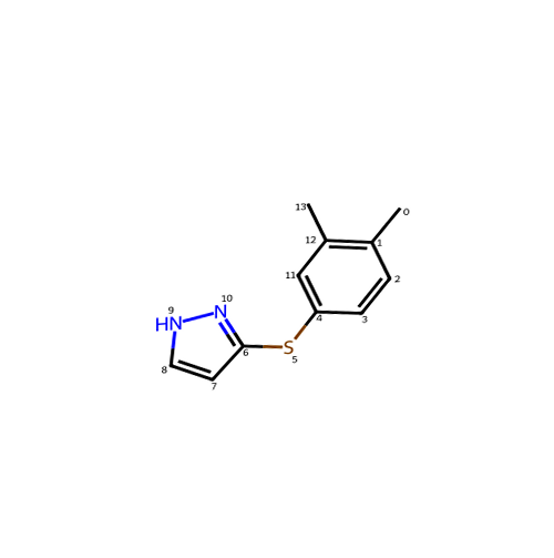 Cc1ccc(Sc2cc[nH]n2)cc1C